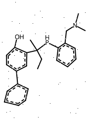 CCC(C)(Pc1ccccc1CN(C)C)c1cc(-c2ccccc2)ccc1O